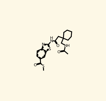 CSC(=O)c1ccc2nc(NC(=O)CC3(CNC(C)=O)CCCCC3)sc2c1